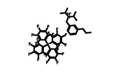 CCCc1cccc(C[NH+](C(C)C)C(C)C)c1.Fc1c(F)c(F)c([B-](c2c(F)c(F)c(F)c(F)c2F)(c2c(F)c(F)c(F)c(F)c2F)c2c(F)c(F)c(F)c(F)c2F)c(F)c1F